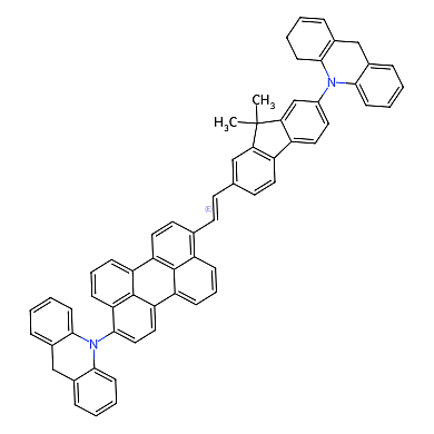 CC1(C)c2cc(/C=C/c3ccc4c5cccc6c(N7c8ccccc8Cc8ccccc87)ccc(c7cccc3c47)c65)ccc2-c2ccc(N3C4=C(C=CCC4)Cc4ccccc43)cc21